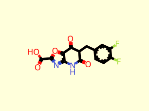 O=C(O)c1nc2c(o1)C(=O)C(Cc1ccc(F)c(F)c1)C(=O)N2